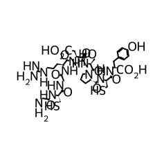 N=C(N)NCCC[C@H](NC(=O)CNC(=O)[C@H](CS)NC(=O)CN)C(=O)N[C@@H](CC(=O)O)C(=O)N[C@@H](CO)C(=O)N1CCC[C@H]1C(=O)N[C@H](CS)C(=O)N[C@@H](Cc1ccc(O)cc1)C(=O)O